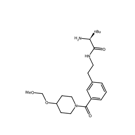 CCCC[C@H](N)C(=O)NCCc1cccc(C(=O)N2CCC(OCOC)CC2)c1